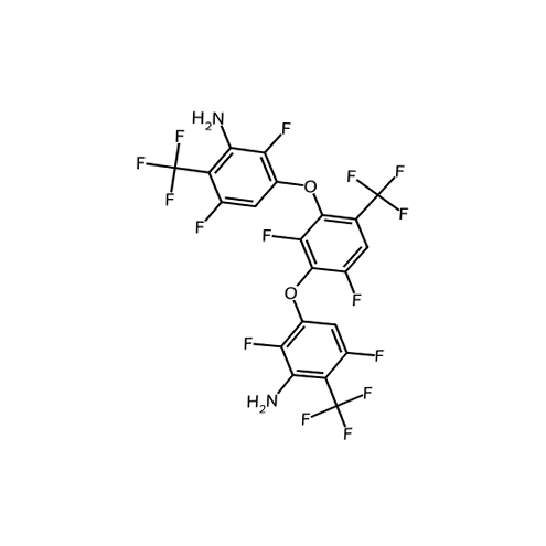 Nc1c(F)c(Oc2c(F)cc(C(F)(F)F)c(Oc3cc(F)c(C(F)(F)F)c(N)c3F)c2F)cc(F)c1C(F)(F)F